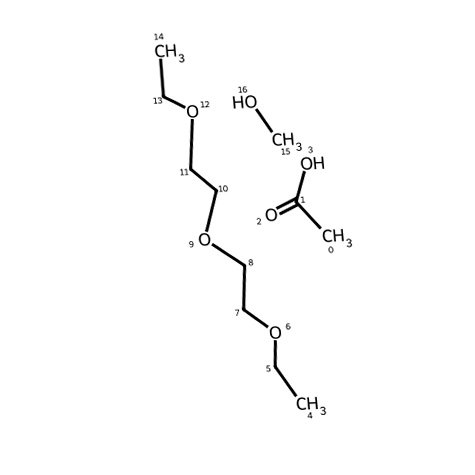 CC(=O)O.CCOCCOCCOCC.CO